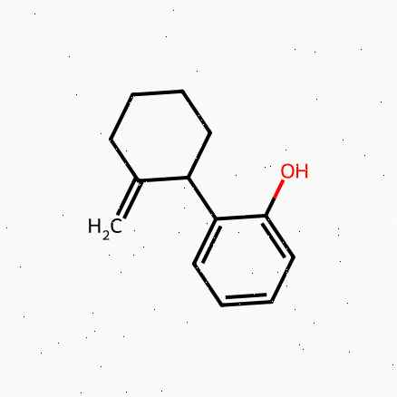 C=C1CCCCC1c1ccccc1O